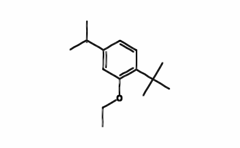 CCOc1cc([C](C)C)ccc1C(C)(C)C